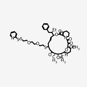 CC[C@H](Cc1ccccc1)[C@@H]1/C=C/CC(SCCOCCOCCSSc2ccccn2)CC(=O)[C@@H](C)[C@H](O)[C@@H](C)[C@@H]2CC[C@@H](C)[C@@](O)(O2)C(=O)C(=O)N2CCCC[C@H]2C(=O)O1